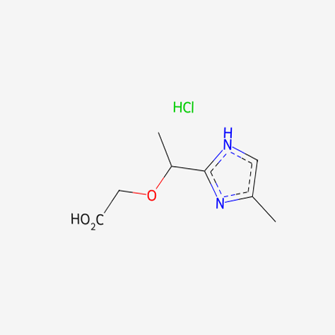 Cc1c[nH]c(C(C)OCC(=O)O)n1.Cl